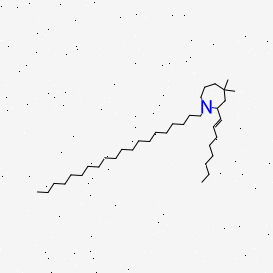 CCCCCCC=CC1CC(C)(C)CCCN1CCCCCCCCCCCCCCCCCCCC